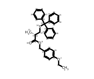 CCOc1ccc(COC(=O)[C@H](C)CSC(c2ccccc2)(c2ccccc2)c2ccccc2)cc1